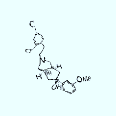 COc1cccc([C@]2(O)C[C@H]3CN(CCc4ccc(Cl)cc4Cl)C[C@H]3C2)c1